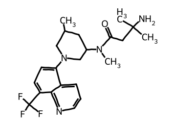 CC1CC(N(C)C(=O)CC(C)(C)N)CN(c2ccc(C(F)(F)F)c3ncccc23)C1